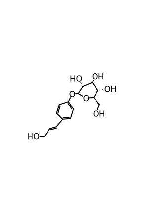 OCC=Cc1ccc(OC2O[C@H](CO)[C@@H](O)[C@H](O)[C@H]2O)cc1